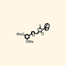 COc1cc(OC)cc(-c2ccc(C=C3SC(=S)N(C4C5CC6CC(C5)CC4C6)C3=O)o2)c1